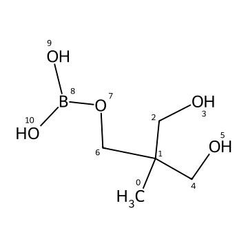 CC(CO)(CO)COB(O)O